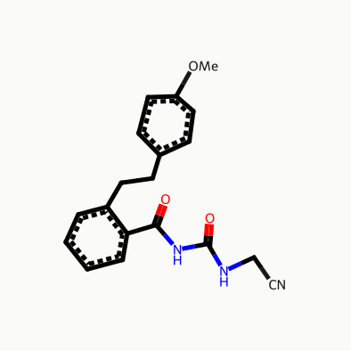 COc1ccc(CCc2ccccc2C(=O)NC(=O)NCC#N)cc1